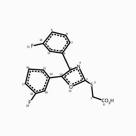 O=C(O)CSc1nc(-c2cccc(F)c2)c(-c2cccc(F)c2)o1